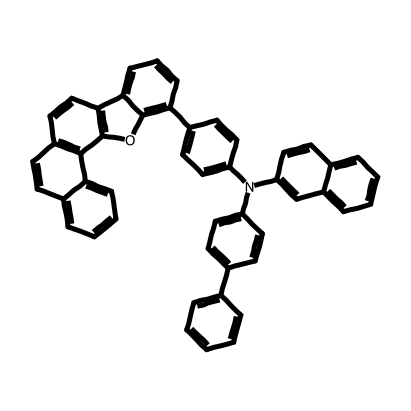 c1ccc(-c2ccc(N(c3ccc(-c4cccc5c4oc4c5ccc5ccc6ccccc6c54)cc3)c3ccc4ccccc4c3)cc2)cc1